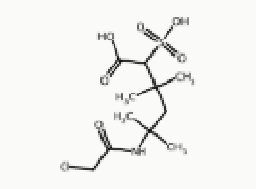 CC(C)(CC(C)(C)C(C(=O)O)S(=O)(=O)O)NC(=O)CCl